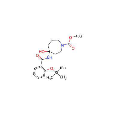 CC(C)(C)OC(=O)N1CCCC(O)(NC(=O)c2ccccc2O[Si](C)(C)C(C)(C)C)CC1